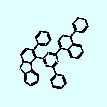 C1=CC(C2CC=C(c3nc(C4=C(c5ccccc5)C=CC5Oc6ccccc6C45)nc(-c4ccccc4)n3)c3ccccc32)=CCC1